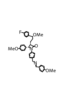 COc1ccc(/C=N/Cc2ccc(N3C(=O)[C@H](CC[C@H](OC)c4ccc(F)cc4)[C@H]3c3ccc(OC)cc3)cc2)cc1